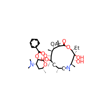 CC[C@H]1OC(=O)[C@H](C)[C@@H](OC(C)=O)[C@H](C)[C@@H](O[C@@H]2O[C@H](C)C[C@H](N(C)C)[C@H]2OC(=O)c2ccccc2)[C@](C)(O)C[C@@H](C)CN(C)[C@H](C)[C@@H](O)[C@]1(C)O